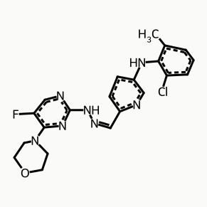 Cc1cccc(Cl)c1Nc1ccc(/C=N\Nc2ncc(F)c(N3CCOCC3)n2)nc1